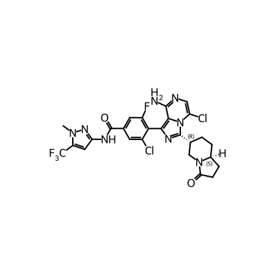 Cn1nc(NC(=O)c2cc(F)c(-c3nc([C@@H]4CC[C@H]5CCC(=O)N5C4)n4c(Cl)cnc(N)c34)c(Cl)c2)cc1C(F)(F)F